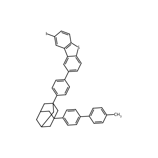 Cc1ccc(-c2ccc(C34CC5CC(C3)CC(c3ccc(-c6ccc7sc8ccc(I)cc8c7c6)cc3)(C5)C4)cc2)cc1